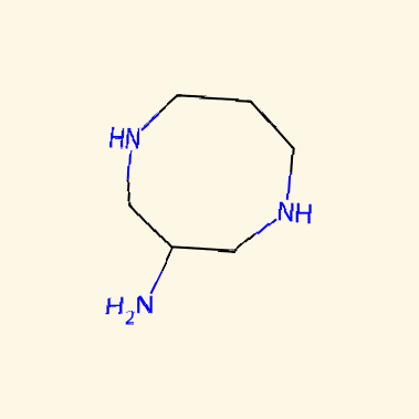 NC1CNCCCNC1